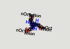 CCCCCCCCCC(CCCCCCCC)OC(=O)c1ccc(NC2=NC3=NC(Nc4ccc(C(=O)OC(CCCCCCCC)CCCCCCCCC)cc4)=NC4=NC(Nc5ccc(C(=O)OC(CCCCCCCC)CCCCCCCCC)cc5)=NC(=N2)N34)cc1